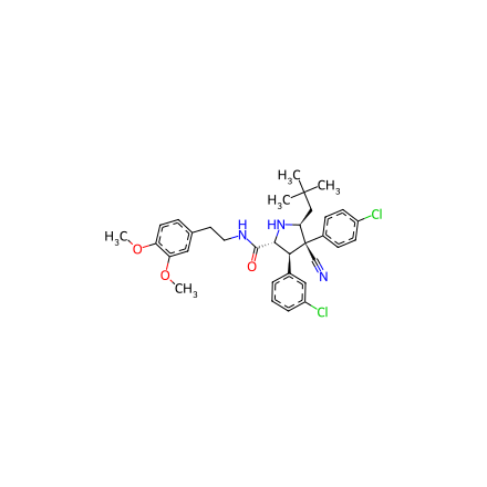 COc1ccc(CCNC(=O)[C@@H]2N[C@@H](CC(C)(C)C)[C@](C#N)(c3ccc(Cl)cc3)[C@H]2c2cccc(Cl)c2)cc1OC